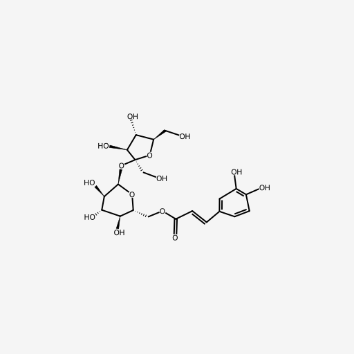 O=C(/C=C/c1ccc(O)c(O)c1)OC[C@H]1O[C@H](O[C@]2(CO)O[C@H](CO)[C@@H](O)[C@@H]2O)[C@H](O)[C@@H](O)[C@@H]1O